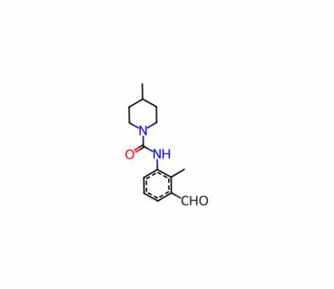 Cc1c(C=O)cccc1NC(=O)N1CCC(C)CC1